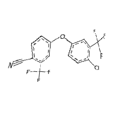 N#Cc1ccc(Oc2ccc(Cl)c(C(F)(F)F)c2)cc1C(F)(F)F